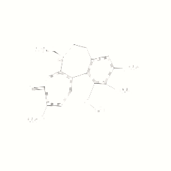 CCCOc1c(OC)c(OC)cc2c1-c1ccc(OC)c(=O)cc1[C@@H](NC(C)=O)CC2